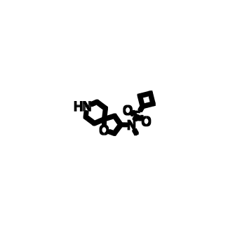 CN(C1COC2(CCNCC2)C1)S(=O)(=O)C1CCC1